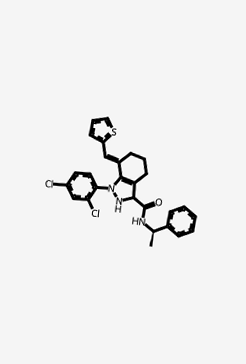 C[C@@H](NC(=O)C1NN(c2ccc(Cl)cc2Cl)C2=C1CCC/C2=C\c1cccs1)c1ccccc1